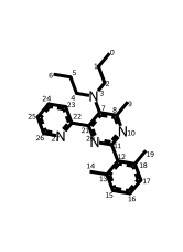 CCCN(CCC)c1c(C)nc(-c2c(C)cccc2C)nc1-c1ccccn1